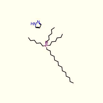 CCCCCCCCCCCCCC[PH](CCCCCC)(CCCCCC)CCCCCC.c1cn[nH]c1